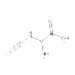 N#CNC(N)C(=O)O